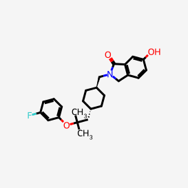 CC(C)(C[C@H]1CC[C@H](CN2Cc3ccc(O)cc3C2=O)CC1)Oc1cccc(F)c1